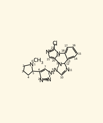 CN1CCCC1c1cn(N2C=NC3c4ccccc4-n4c(cnc4Cl)N32)nn1